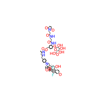 C=C(CCCc1ccc(N2C[C@@H]3C[C@H]4[C@@H]5C[C@H](F)C6=CC(=O)C=C[C@]6(C)[C@@]5(F)[C@@H](O)C[C@]4(C)[C@]3(C(=O)CO)C2)cc1)NC(=O)OCc1ccc(O[C@@H]2O[C@H](C(=O)O)[C@@H](O)[C@H](O)[C@H]2O)c(NC(=O)CCNC(=O)CCN2C(=O)C=CC2=O)c1